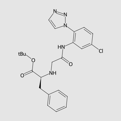 CC(C)(C)OC(=O)[C@H](Cc1ccccc1)NCC(=O)Nc1cc(Cl)ccc1-n1ccnn1